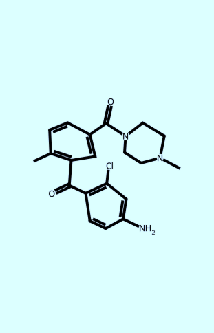 Cc1ccc(C(=O)N2CCN(C)CC2)cc1C(=O)c1ccc(N)cc1Cl